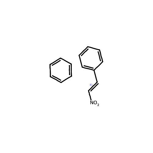 O=[N+]([O-])/C=C/c1ccccc1.c1ccccc1